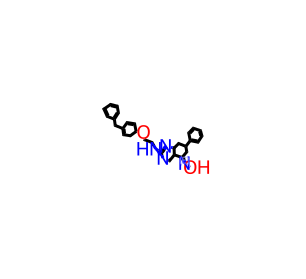 O/N=C1\CC(c2ccccc2)CC2N=C(NCCOC3C=CC(Cc4ccccc4)=CC3)N=CC12